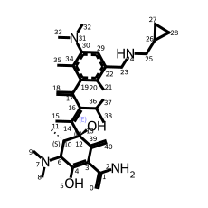 C=C(N)C1=C(O)C(N(C)C)[C@H](C)[C@](O)(/C(C)=C(/C(=C)c2c(C)c(CNCC3CC3)cc(N(C)C)c2C)C(C)C)C1=C